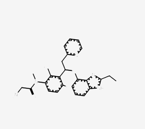 CCc1nc2c(OC(Cc3ccccn3)c3c(Cl)ccc(N(C)C(=O)CN)c3Cl)cccc2[nH]1